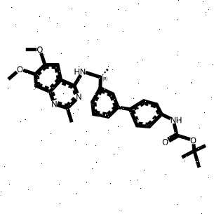 COc1cc2nc(C)nc(N[C@H](C)c3cccc(-c4ccc(NC(=O)OC(C)(C)C)cc4)c3)c2cc1OC